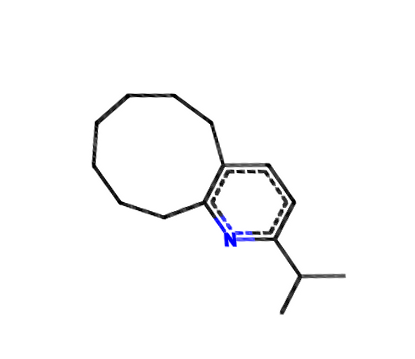 CC(C)c1ccc2c(n1)CCCCCCC2